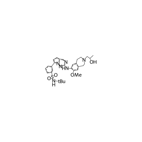 COc1cc2c(cc1Nc1ncc3ccc(-c4cccc(S(=O)(=O)NC(C)(C)C)c4)n3n1)CCN(CC(C)O)CC2